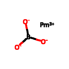 [O-]B([O-])[O-].[Pm+3]